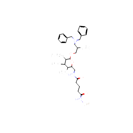 CC(=O)NC1C(OCC(CN(Cc2ccccc2)Cc2ccccc2)OC(C)=O)OC(CNC(=O)CCCC(=O)NS)C(C)C1C